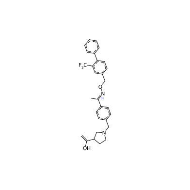 C=C(O)C1CCN(Cc2ccc(/C(C)=N/OCc3ccc(-c4ccccc4)c(C(F)(F)F)c3)cc2)C1